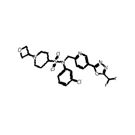 O=S(=O)(C1CCN(C2COC2)CC1)N(Cc1ccc(-c2nnc(C(F)F)o2)cn1)c1cccc(Cl)c1